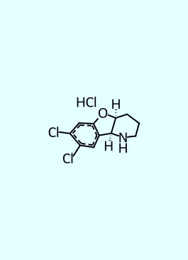 Cl.Clc1cc2c(cc1Cl)[C@@H]1NCCC[C@@H]1O2